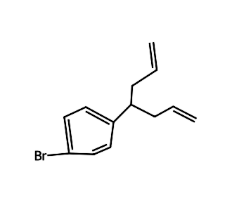 C=CCC(CC=C)c1ccc(Br)cc1